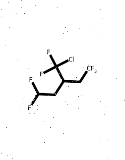 FC(F)CC(CC(F)(F)F)C(F)(F)Cl